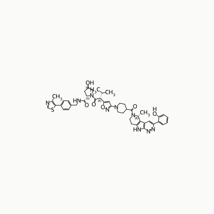 Cc1ncsc1-c1ccc(CNC(=O)[C@@H]2C[C@@H](O)CN2C(=O)[C@@H](c2cc(N3CCC(C(=O)N4CCc5[nH]c6nnc(-c7ccccc7O)cc6c5[C@H]4C)CC3)no2)C(C)C)cc1